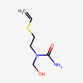 C=CSCCN(CO)C(N)=O